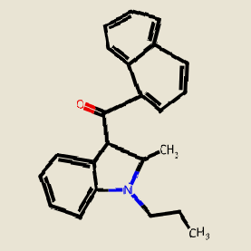 CCCN1c2ccccc2C(C(=O)c2cccc3ccccc23)C1C